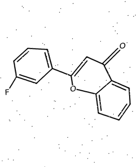 O=c1cc(-c2cccc(F)c2)oc2ccccc12